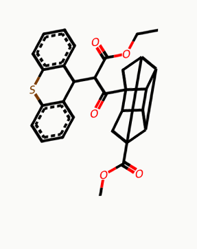 CCOC(=O)C(C(=O)C12CC3C4C5C(C1CC35C(=O)OC)C42)C1c2ccccc2Sc2ccccc21